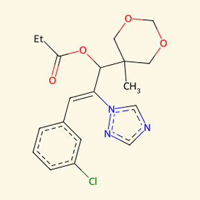 CCC(=O)OC(C(=Cc1cccc(Cl)c1)n1cncn1)C1(C)COCOC1